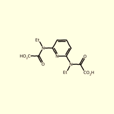 CCN(C(=O)C(=O)O)c1cccc(N(CC)C(=O)C(=O)O)n1